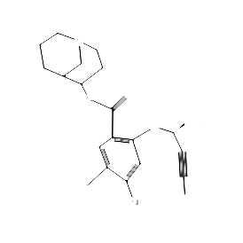 CC#C[C@H](C)Oc1cc(N)c(Cl)cc1C(=O)NC1CCN2CCC[C@H]1C2.Cl